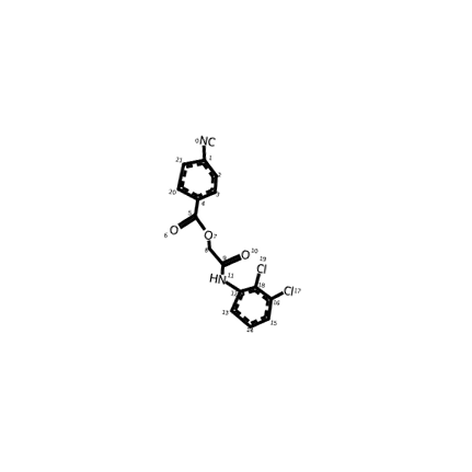 [C-]#[N+]c1ccc(C(=O)OCC(=O)Nc2cccc(Cl)c2Cl)cc1